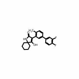 Cc1ccc(-c2ccc(F)c(F)c2)cc1C1=C(O)C2(CCCCC2)NC1=O